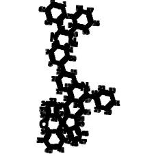 c1ccc(-c2nc3ccc(-c4ccc5c(c4)nc(-c4ccccc4)c4cc6c(cc45)C4(c5ccccc5Oc5ccccc54)c4ccccc4-6)cc3nc2-c2ccccc2)cc1